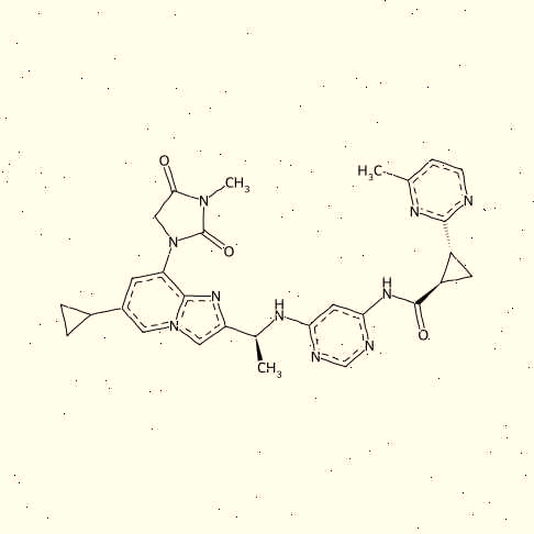 Cc1ccnc([C@@H]2C[C@H]2C(=O)Nc2cc(N[C@@H](C)c3cn4cc(C5CC5)cc(N5CC(=O)N(C)C5=O)c4n3)ncn2)n1